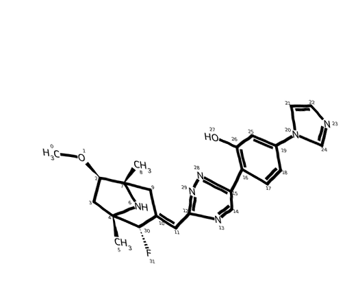 CO[C@@H]1C[C@]2(C)N[C@@]1(C)C/C(=C\c1ncc(-c3ccc(-n4ccnc4)cc3O)nn1)[C@@H]2F